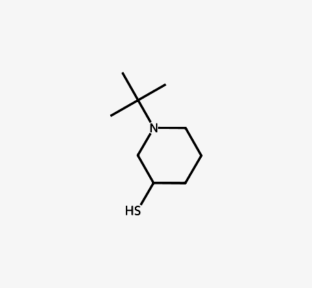 CC(C)(C)N1CCCC(S)C1